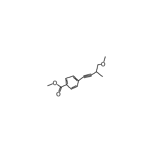 COCC(C)C#Cc1ccc(C(=O)OC)cc1